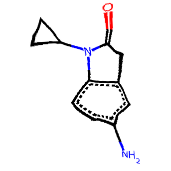 Nc1ccc2c(c1)CC(=O)N2C1CC1